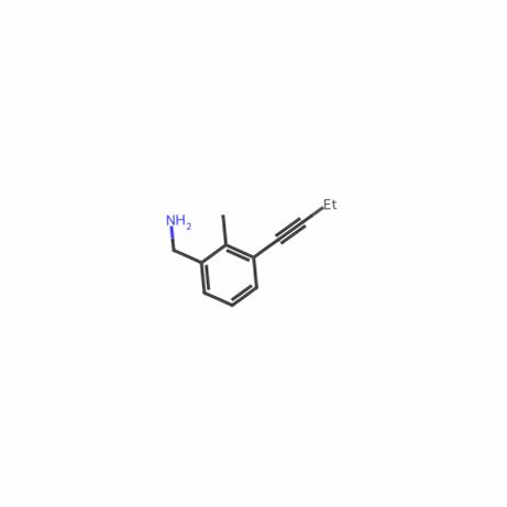 CCC#Cc1cccc(CN)c1C